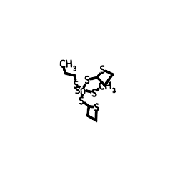 CCC[S][Sn]([S]C)([S]C1CCS1)[S]C1CCS1